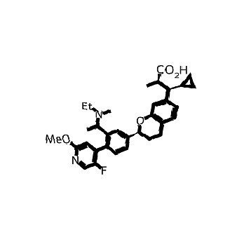 CCN(C)C(C)c1cc([C@@H]2CCc3ccc([C@H](C4CC4)[C@@H](C)C(=O)O)cc3O2)ccc1-c1cc(OC)ncc1F